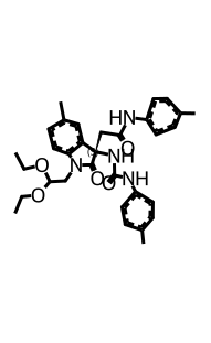 CCOC(CN1C(=O)[C@@](CC(=O)Nc2ccc(C)cc2)(NC(=O)Nc2ccc(C)cc2)c2cc(C)ccc21)OCC